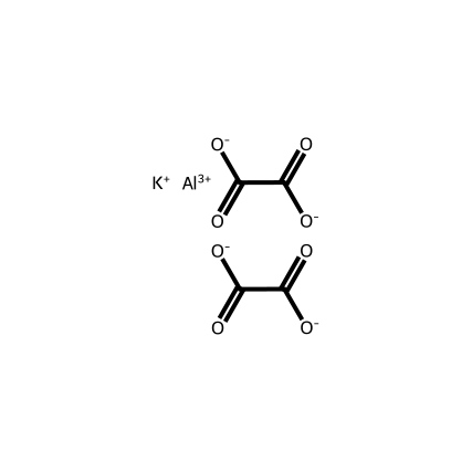 O=C([O-])C(=O)[O-].O=C([O-])C(=O)[O-].[Al+3].[K+]